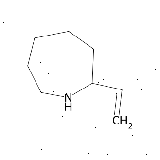 C=CC1CCCCCN1